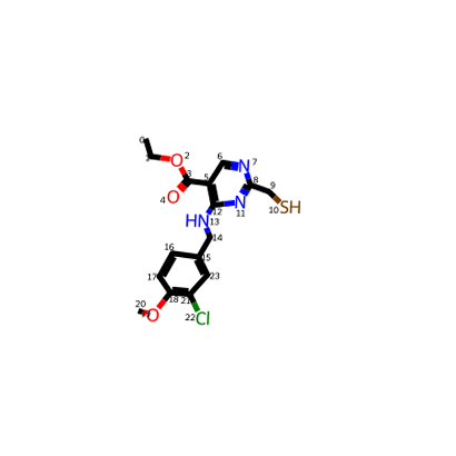 CCOC(=O)c1cnc(CS)nc1NCc1ccc(OC)c(Cl)c1